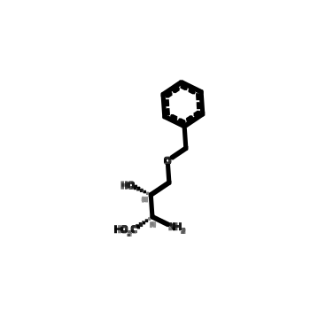 N[C@H](C(=O)O)[C@H](O)COCc1ccccc1